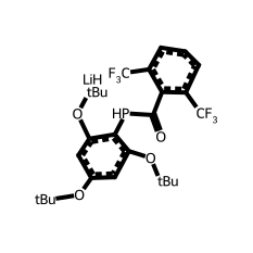 CC(C)(C)Oc1cc(OC(C)(C)C)c(PC(=O)c2c(C(F)(F)F)cccc2C(F)(F)F)c(OC(C)(C)C)c1.[LiH]